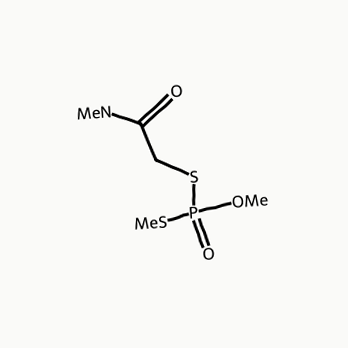 CNC(=O)CSP(=O)(OC)SC